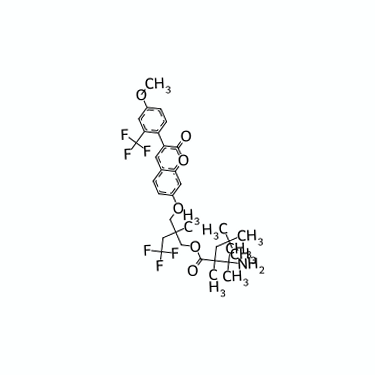 COc1ccc(-c2cc3ccc(OCC(C)(COC(=O)C(C)(CC(C)(C)C)C(C)(C)N)CC(F)(F)F)cc3oc2=O)c(C(F)(F)F)c1